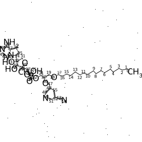 CCCCCCCCCCCCCCCCCCOC[C@H](COP(=O)(O)OC[C@@]1(C)OCC(O)(c2ccc3c(N)ncnn23)[C@@H]1O)OCc1cncc(C#N)c1